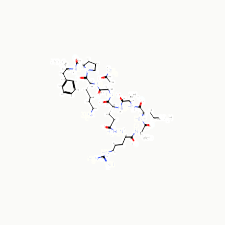 CC[C@H](C)[C@H](NC(=O)[C@@H](N)CCCNC(=N)N)C(=O)N[C@@H](CCC(=O)O)C(=O)N[C@@H](C)C(=O)N[C@@H](CCC(N)=O)C(=O)N[C@@H](CC(N)=O)C(=O)N[C@@H](CCCCN)C(=O)N1CCC[C@H]1C(=O)N[C@@H](Cc1ccccc1)C(=O)O